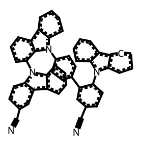 N#Cc1ccc(-n2c3ccccc3c3ccccc32)c(-c2ccc(-n3c4ccccc4c4cccc(-n5c6ccccc6c6cc(C#N)ccc65)c43)cc2)c1